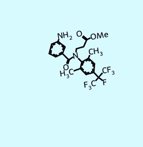 COC(=O)CCN(C(=O)c1cccc(N)c1)c1c(C)cc(C(F)(C(F)(F)F)C(F)(F)F)cc1C